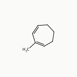 CC1=[C]CCCC=C1